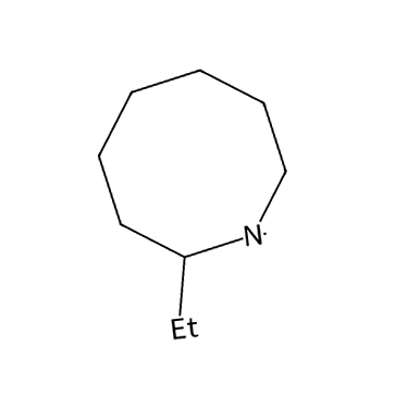 CCC1CCCCCC[N]1